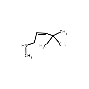 CNC/C=C\C(C)(C)C